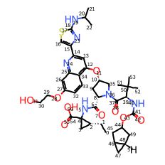 CC[C@@H]1CC1(NC(=O)[C@@H]1C[C@H](Oc2cc(-c3csc(NC(C)C)n3)nc3cc(OCCO)ccc23)CN1C(=O)[C@H](NC(=O)OC1CC2C[C@H]2C1)C(C)(C)C)C(=O)O